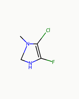 CN1CNC(F)=C1Cl